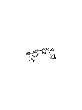 CNc1nc(Nc2cn(CC3(Cn4cncn4)CC3)nc2C)ncc1C(F)(F)F